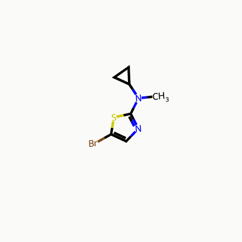 CN(c1ncc(Br)s1)C1CC1